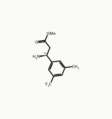 COC(=O)C[C@H](N)c1cc(C)cc(C(F)(F)F)c1